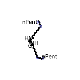 C=C(CCCCCCC/C=C\C/C=C\CCCCC)N[C@@H]1C[C@@H]1NC(=O)CCCCCCC/C=C\C/C=C\CCCCC